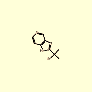 CCC(C)(C)c1nc2cnccc2[nH]1